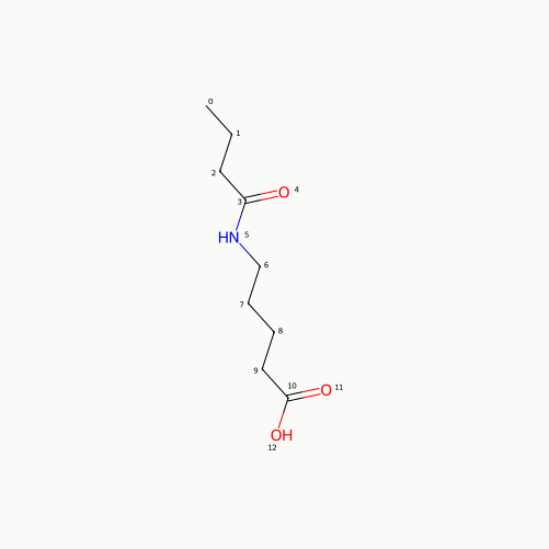 CCCC(=O)NCCCCC(=O)O